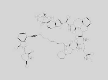 NC(=O)CC[C@H](NC(=O)[C@@H]1Cc2cccc3c2N1C(=O)[C@@H](NC(=O)c1cc2cc(C(F)(F)P(=O)(O)O)ccc2s1)CC3)C(=O)N[C@@H](CC1CCCCC1)C(=O)NCCCCCCCC#Cc1cccc2c1CN(C1CCC(=O)NC1=O)C2=O